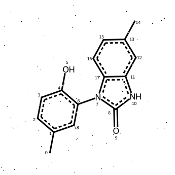 Cc1ccc(O)c(-n2c(=O)[nH]c3cc(C)ccc32)c1